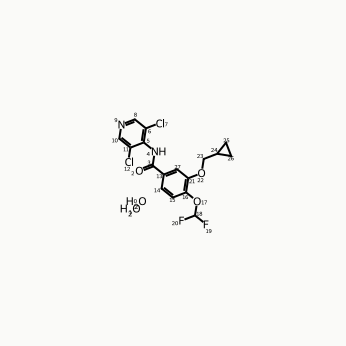 O.O.O=C(Nc1c(Cl)cncc1Cl)c1ccc(OC(F)F)c(OCC2CC2)c1